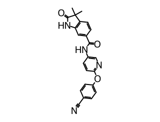 CC1(C)C(=O)Nc2cc(C(=O)Nc3ccc(Oc4ccc(C#N)cc4)nc3)ccc21